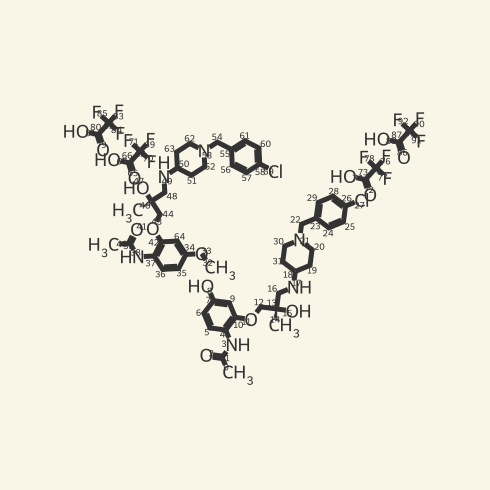 CC(=O)Nc1ccc(O)cc1OC[C@@](C)(O)CNC1CCN(Cc2ccc(Cl)cc2)CC1.COc1ccc(NC(C)=O)c(OC[C@@](C)(O)CNC2CCN(Cc3ccc(Cl)cc3)CC2)c1.O=C(O)C(F)(F)F.O=C(O)C(F)(F)F.O=C(O)C(F)(F)F.O=C(O)C(F)(F)F